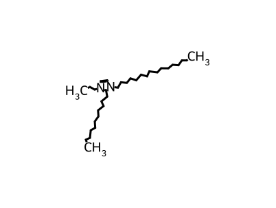 CCCCCCCCCCCCCCCCN1C=CN(CCC)C1CCCCCCCCCCC